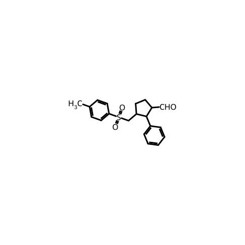 Cc1ccc(S(=O)(=O)CC2CCC(C=O)C2c2ccccc2)cc1